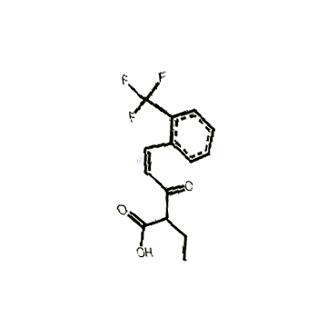 CCC(C(=O)O)C(=O)/C=C\c1ccccc1C(F)(F)F